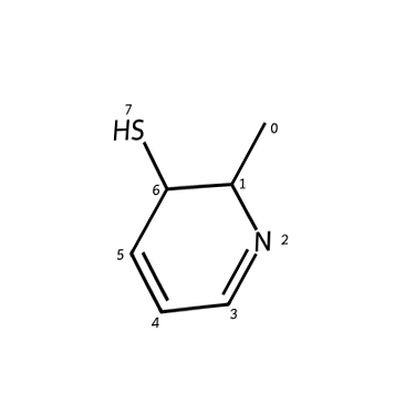 CC1N=CC=CC1S